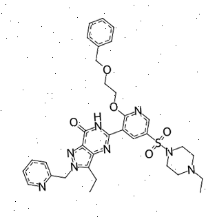 CCc1c2nc(-c3cc(S(=O)(=O)N4CCN(CC)CC4)cnc3OCCOCc3ccccc3)[nH]c(=O)c2nn1Cc1ccccn1